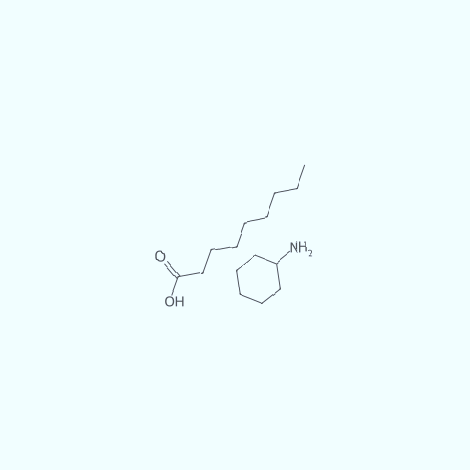 CCCCCCCCC(=O)O.NC1CCCCC1